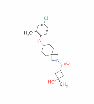 Cc1cc(Cl)ccc1OC1CCC2(CC1)CN(C(=O)[C@H]1C[C@@](C)(O)C1)C2